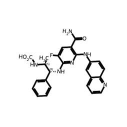 C[C@H](NC(=O)O)[C@H](Nc1nc(Nc2ccc3ncccc3c2)c(C(N)=O)cc1F)c1ccccc1